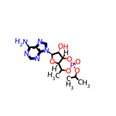 CC(C)OP1(=O)OC(C)[C@H]2O[C@@H](n3cnc4c(N)ncnc43)[C@H](O)[C@@H]2O1